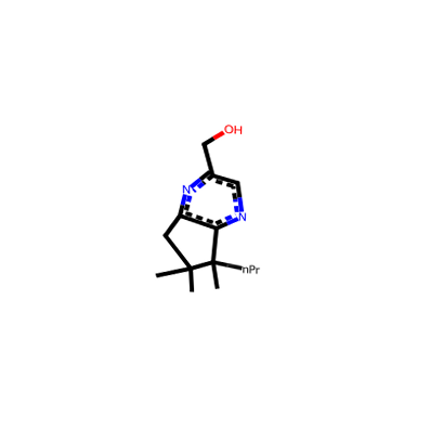 CCCC1(C)c2ncc(CO)nc2CC1(C)C